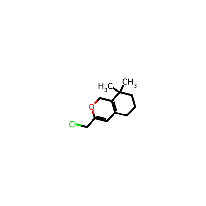 CC1(C)CCCC2=C1COC(CCl)=C2